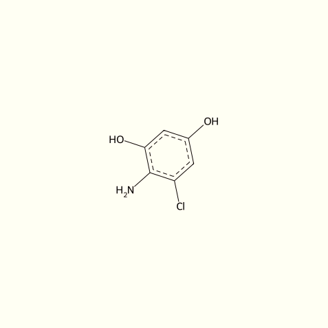 Nc1c(O)cc(O)cc1Cl